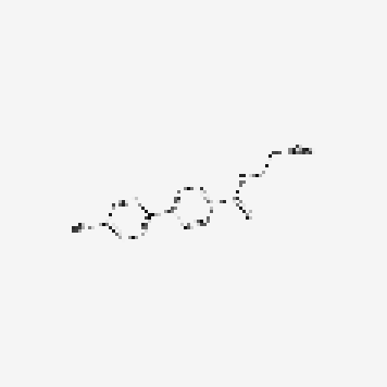 CCCCCCCCCCCCOC(=O)c1ccc(-c2ccc(CCC)cc2)cc1